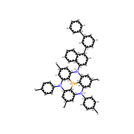 Cc1ccc(N2c3cc(C)cc4c3P3(=S)c5c2cc(C)cc5N(c2ccc(-c5cccc(-c6ccccc6)c5)c5ccccc25)c2cc(C)cc(c23)N4c2ccc(C)cc2)cc1